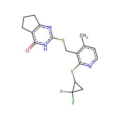 Cc1ccnc(SC2CC2(F)F)c1CSc1nc2c(c(=O)[nH]1)CCC2